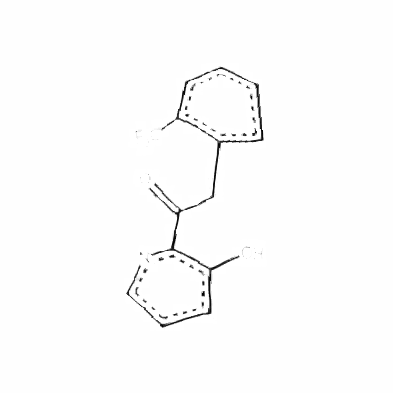 O=C(Cc1ccccc1C(F)(F)F)c1ncccc1O